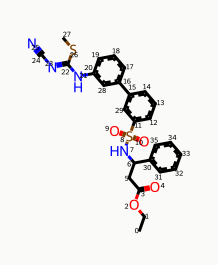 CCOC(=O)CC(NS(=O)(=O)c1cccc(-c2cccc(N/C(=N/C#N)SC)c2)c1)c1ccccc1